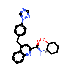 O=C(N[C@H]1CCCC[C@@H]1O)c1cc(Cc2ccc(-n3cncn3)cc2)c2ccccc2n1